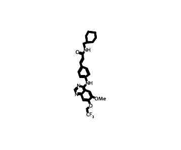 COc1cc2c(Nc3ccc(C=CC(=O)NCC4CCCCC4)cc3)ncnc2cc1OCC(F)(F)F